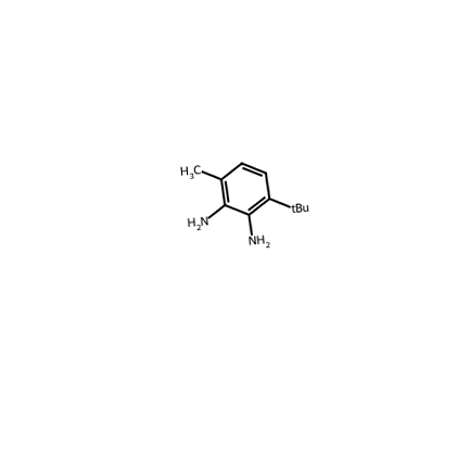 Cc1ccc(C(C)(C)C)c(N)c1N